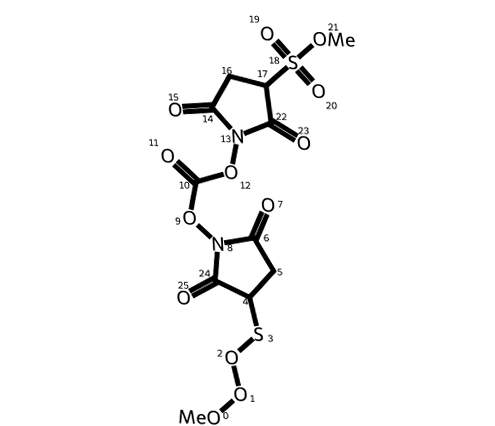 COOOSC1CC(=O)N(OC(=O)ON2C(=O)CC(S(=O)(=O)OC)C2=O)C1=O